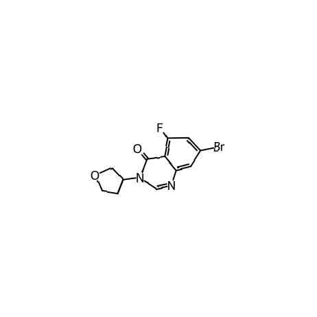 O=c1c2c(F)cc(Br)cc2ncn1C1CCOC1